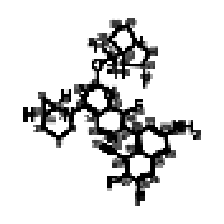 [2H]C([2H])(Oc1nc(N2CCC[C@H]3C[C@H]32)c2cnc(-c3cc(N)cc4cc(F)c(F)c(C#C)c34)c(F)c2n1)[C@@]12CCCN1C[C@H](F)C2